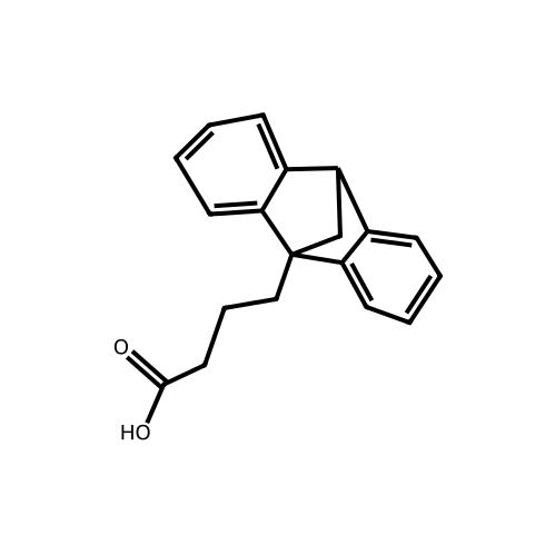 O=C(O)CCCC12CC(c3ccccc31)c1ccccc12